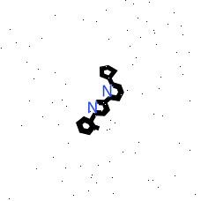 Cc1ccccc1-c1ccc(-c2cccc(C3CCCC3)n2)cn1